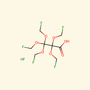 F.O=C(O)C(OCF)(OCF)C(OCF)(OCF)OCF